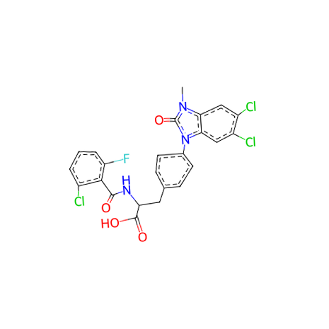 Cn1c(=O)n(-c2ccc(CC(NC(=O)c3c(F)cccc3Cl)C(=O)O)cc2)c2cc(Cl)c(Cl)cc21